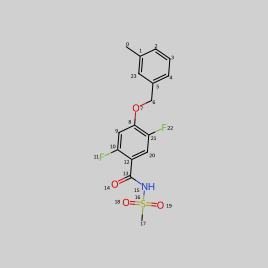 Cc1cccc(COc2cc(F)c(C(=O)NS(C)(=O)=O)cc2F)c1